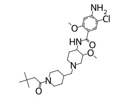 COc1cc(N)c(Cl)cc1C(=O)NC1CCN(CC2CCN(C(=O)CC(C)(C)C)CC2)CC1OC